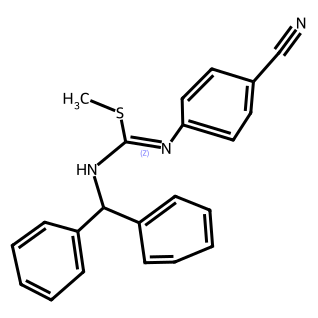 CS/C(=N\c1ccc(C#N)cc1)NC(c1ccccc1)c1ccccc1